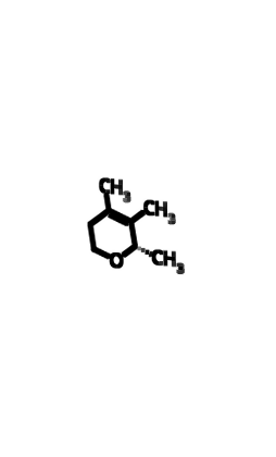 CC1=C(C)[C@H](C)OCC1